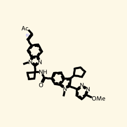 COc1ccc(-c2c(C3CCCC3)c3ccc(C(=O)NC4(c5nc6ccc(/C=C/C(C)=O)cc6n5C)CCC4)cc3n2C)nn1